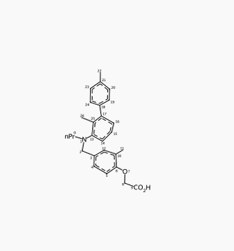 CCCN(Cc1ccc(OCC(=O)O)c(C)c1)c1cccc(-c2ccc(C)cc2)c1C